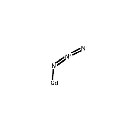 [N-]=[N+]=[N][Gd]